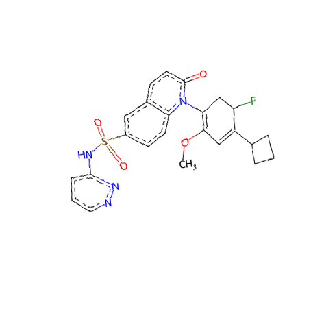 COC1=C(n2c(=O)ccc3cc(S(=O)(=O)Nc4cccnn4)ccc32)CC(F)C(C2CCC2)=C1